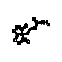 NC(=O)OCCC([N+](=O)[O-])([N+](=O)[O-])[N+](=O)[O-]